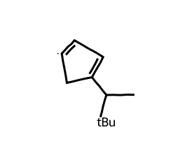 CC(C1=CC=[C]C1)C(C)(C)C